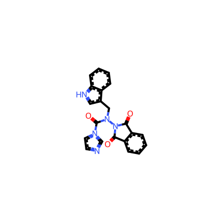 O=C1c2ccccc2C(=O)N1N(Cc1c[nH]c2ccccc12)C(=O)n1ccnc1